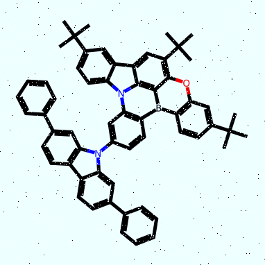 CC(C)(C)c1ccc2c(c1)Oc1c(C(C)(C)C)cc3c4cc(C(C)(C)C)ccc4n4c3c1B2c1ccc(-n2c3cc(-c5ccccc5)ccc3c3ccc(-c5ccccc5)cc32)cc1-4